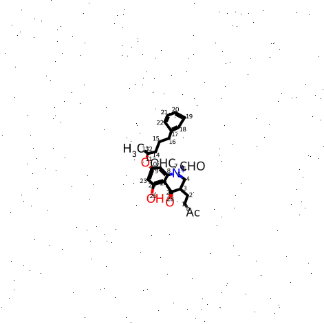 CC(=O)CCC1C[N+](C=O)(C=O)c2cc(OC(C)CCCc3ccccc3)cc(O)c2C1=O